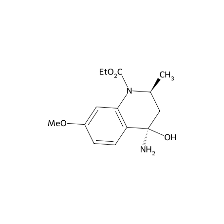 CCOC(=O)N1c2cc(OC)ccc2[C@](N)(O)C[C@@H]1C